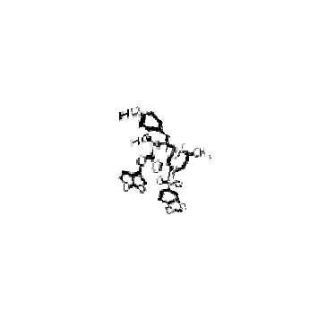 CC(C)CN(CCC(Cc1ccc(O)cc1)N(O)C(=O)OC1COC2OCCC12)S(=O)(=O)c1ccc2c(c1)OCO2